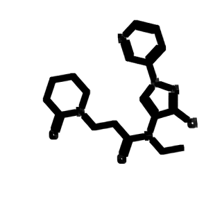 CCN(C(=O)CCN1CCCCC1=O)c1cn(-c2cccnc2)nc1Cl